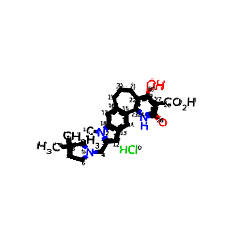 Cl.Cn1c(CN2CCC(C)(C)C2)cc2cc3c(cc21)CCCc1c-3[nH]c(=O)c(C(=O)O)c1O